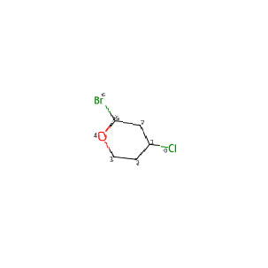 ClC1CCO[C](Br)C1